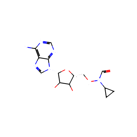 Nc1ncnc2c1ncn2[C@@H]1O[C@H](CON(C=O)C2CC2)C(O)C1O